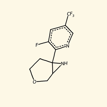 Fc1cc(C(F)(F)F)cnc1C12CCOCC1N2